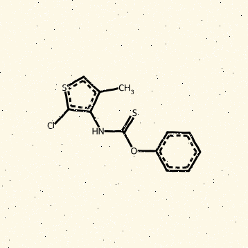 Cc1csc(Cl)c1NC(=S)Oc1ccccc1